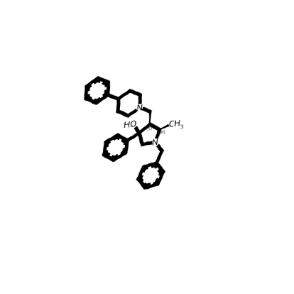 C[C@@H]1[C@H](CN2CCC(c3ccccc3)CC2)C(O)(c2ccccc2)CN1Cc1ccccc1